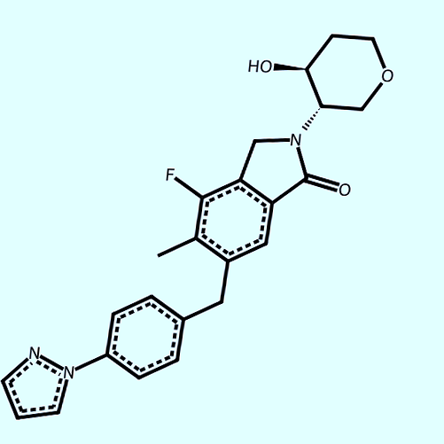 Cc1c(Cc2ccc(-n3cccn3)cc2)cc2c(c1F)CN([C@H]1COCC[C@@H]1O)C2=O